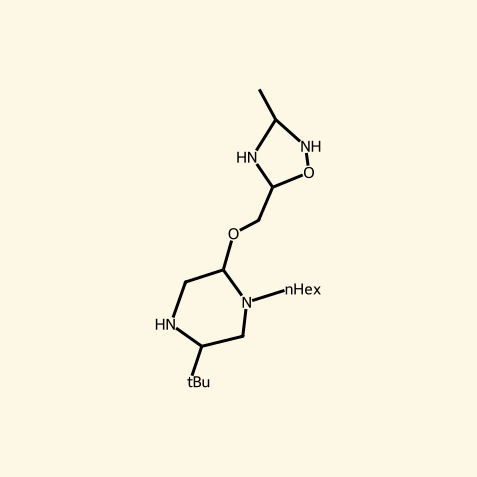 CCCCCCN1CC(C(C)(C)C)NCC1OCC1NC(C)NO1